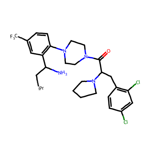 CC(C)CC(N)c1cc(C(F)(F)F)ccc1N1CCN(C(=O)C(Cc2ccc(Cl)cc2Cl)N2CCCC2)CC1